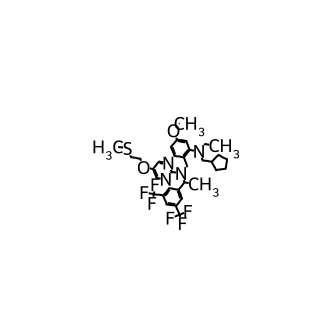 CCN(CC1CCCC1)c1cc(OC)ccc1CN(c1ncc(OCCSC)cn1)C(C)c1cc(C(F)(F)F)cc(C(F)(F)F)c1